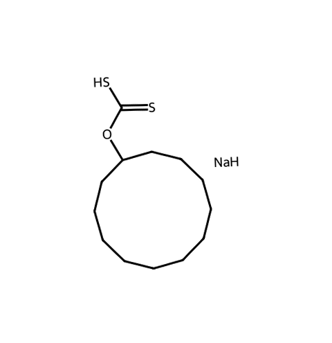 S=C(S)OC1CCCCCCCCCCC1.[NaH]